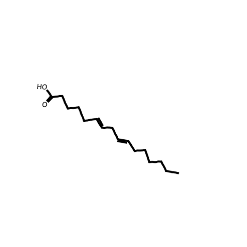 CCCCCCC=CCC=CCCCCC(=O)O